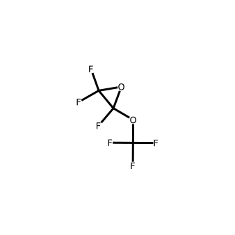 FC(F)(F)OC1(F)OC1(F)F